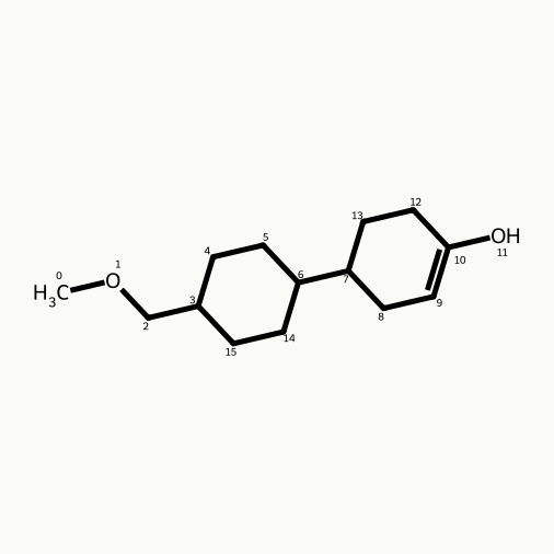 COCC1CCC(C2CC=C(O)CC2)CC1